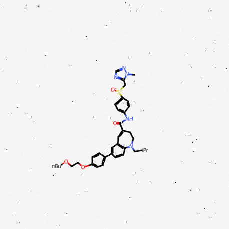 CCCCOCCOc1ccc(-c2ccc3c(c2)C=C(C(=O)Nc2ccc([S+]([O-])Cc4ncnn4C)cc2)CCN3CC(C)C)cc1